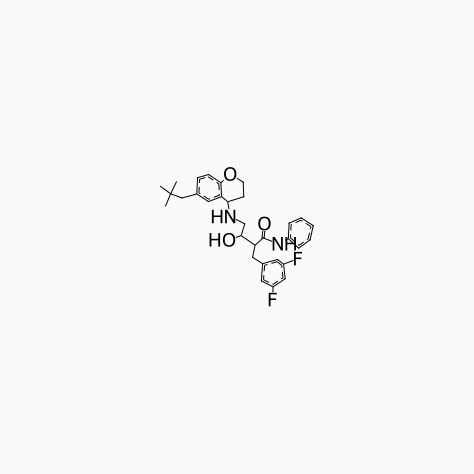 CC(C)(C)Cc1ccc2c(c1)C(NCC(O)C(Cc1cc(F)cc(F)c1)C(=O)Nc1ccccc1)CCO2